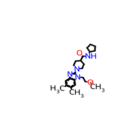 COCCn1c(N2CCC(C(=O)NC3CCCC3)CC2)nc2cc(C)c(C)cc21